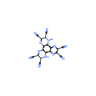 CN1c2c(c3c(c4nc(C#N)c(C#N)nc24)NC(C#N)C(C#N)=N3)N=C(C#N)C1C#N